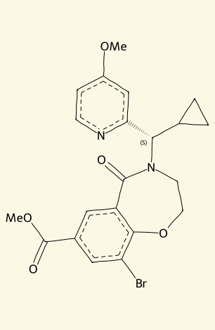 COC(=O)c1cc(Br)c2c(c1)C(=O)N([C@H](c1cc(OC)ccn1)C1CC1)CCO2